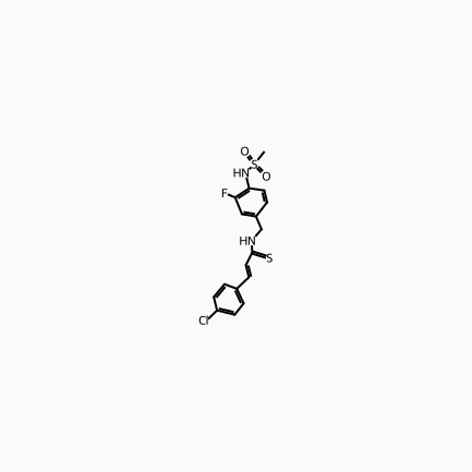 CS(=O)(=O)Nc1ccc(CNC(=S)C=Cc2ccc(Cl)cc2)cc1F